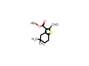 CCCCOC(=O)c1c(C=O)sc2c1CC(C)(C)CC2